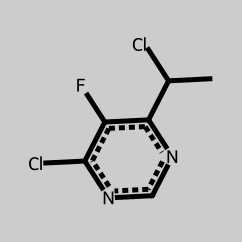 CC(Cl)c1ncnc(Cl)c1F